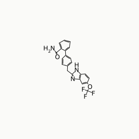 NC(=O)c1ccccc1-c1ccc(Cc2nc3cc(OC(F)(F)F)ccc3[nH]2)cc1